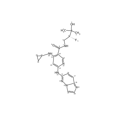 CC(C)(O)[C@H](F)CNC(=O)c1cnc(Nc2ccc3nccn3n2)cc1NC1CC1